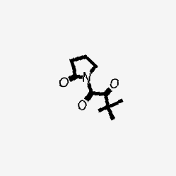 CC(C)(C)C(=O)C(=O)N1CCCC1=O